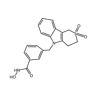 O=C(NO)c1cccc(Cn2c3c(c4ccccc42)CS(=O)(=O)CC3)c1